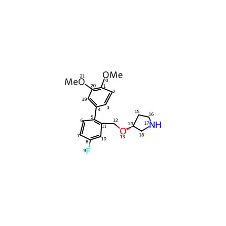 COc1ccc(-c2ccc(F)cc2CO[C@H]2CCNC2)cc1OC